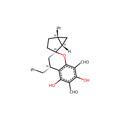 CC(C)C[C@@H]1C[C@@]2(CC[C@]3(C(C)C)C[C@H]23)Oc2c(C=O)c(O)c(C=O)c(O)c21